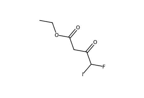 CCOC(=O)CC(=O)C(F)I